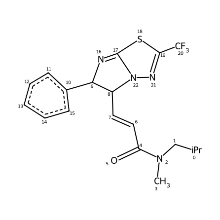 CC(C)CN(C)C(=O)/C=C/C1C(c2ccccc2)N=C2SC(C(F)(F)F)=NN21